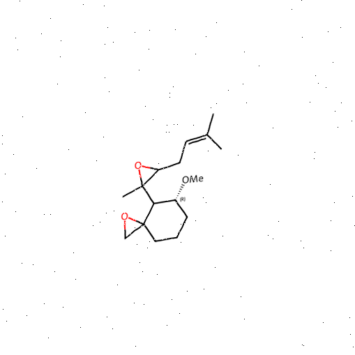 CO[C@@H]1CCCC2(CO2)C1C1(C)OC1CC=C(C)C